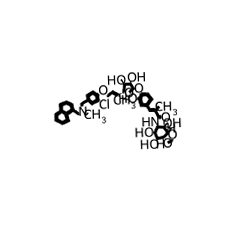 C/C(=C\c1ccc(O[C@@H]2O[C@H](/C(C)=C/COc3ccc(CN(C)Cc4cccc5ccccc45)cc3Cl)[C@@H](O)[C@@H]2O)c(O)c1)C(=O)N[C@@H]1[C@H](O)[C@@H](O)[C@H]2OCO[C@H]2[C@@H]1O